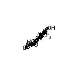 O=C(OC1COC1)N1CCN(C(=O)c2ccc(Oc3nccn4c(-c5cn(CCCO)nc5C(F)(F)F)cnc34)cc2O)CC1